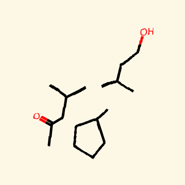 CC(=O)CC(C)C.CC(C)CCO.CC1CCCC1